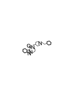 O=C1c2c3ccccc3nn2CCCN1CC1CCN(CCc2ccccc2)CC1